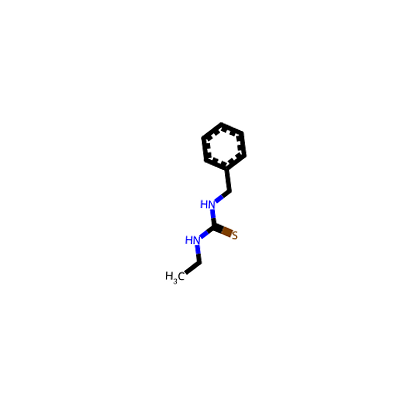 CCNC(=S)NCc1ccccc1